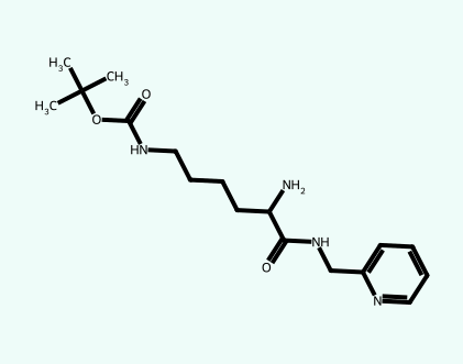 CC(C)(C)OC(=O)NCCCCC(N)C(=O)NCc1ccccn1